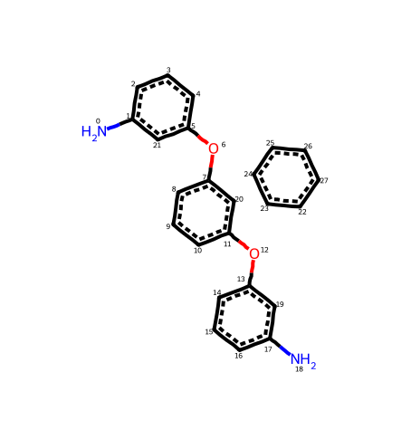 Nc1cccc(Oc2cccc(Oc3cccc(N)c3)c2)c1.c1ccccc1